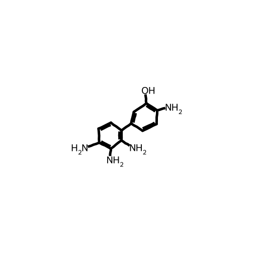 Nc1ccc(-c2ccc(N)c(N)c2N)cc1O